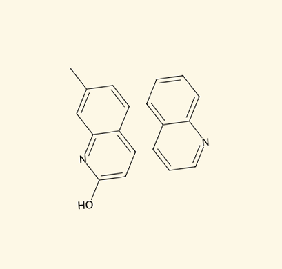 Cc1ccc2ccc(O)nc2c1.c1ccc2ncccc2c1